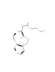 C/C1=C(CC(CCCN)C(=O)O)\N=C/Cc2cnccc2CC1